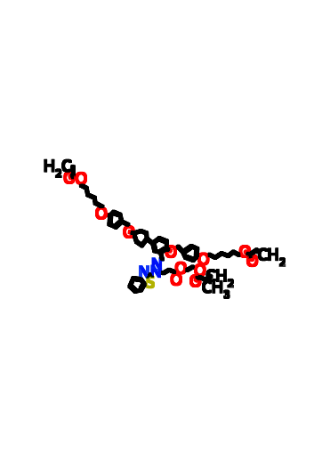 C=CC(=O)OCCCCCCOc1ccc(COc2ccc(C3CCC(OCc4ccc(OCCCCCCOC(=O)C=C)cc4)CC3)cc2/C=N/N(CCC(=O)OCCOC(=O)C(=C)C)c2nc3ccccc3s2)cc1